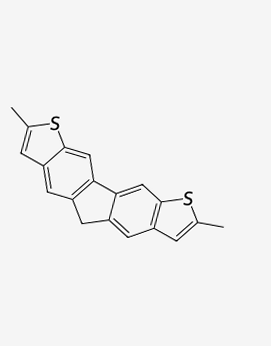 Cc1cc2cc3c(cc2s1)-c1cc2sc(C)cc2cc1C3